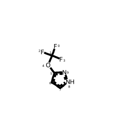 FC(F)(F)Oc1c[c][nH]n1